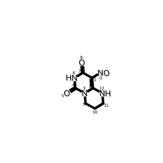 O=Nc1c2n(c(=O)[nH]c1=O)CCCN2